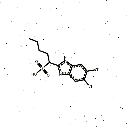 CCCCC(c1nc2[c]c(Cl)c(Cl)cc2[nH]1)S(=O)(=O)O